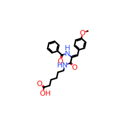 COc1ccc(C=C(NC(=O)c2ccccc2)C(=O)NCCCCCC(=O)O)cc1